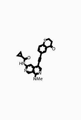 CNc1ncc(C#Cc2ccc3c(c2)C(=O)CCS3)c2cc(NC(=O)C3CC3)ncc12